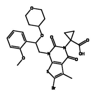 COc1ccccc1C(Cn1c(=O)n(C2(C(=O)O)CC2)c(=O)c2c(C)c(Br)sc21)OC1CCOCC1